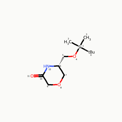 CC(C)(C)[Si](C)(C)OC[C@@H]1COCC(=O)N1